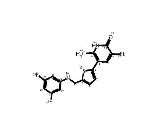 CCc1cc(-c2ccc(CNc3cc(F)cc(F)c3)s2)c(C)[nH]c1=O